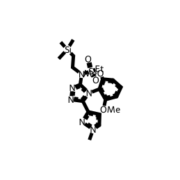 CCS(=O)(=O)N(CC[Si](C)(C)C)c1nnc(-c2ccn(C)n2)n1-c1c(OC)cccc1OC